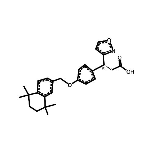 CC1(C)CCC(C)(C)c2cc(COc3ccc([C@@H](CC(=O)O)c4ccon4)cc3)ccc21